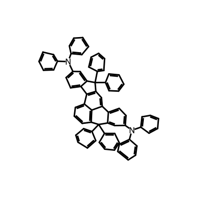 c1ccc(N(c2ccccc2)c2ccc3c(c2)C(c2ccccc2)(c2ccccc2)c2cc4c5c(cccc5c2-3)C(c2ccccc2)(c2ccccc2)c2cc(N(c3ccccc3)c3ccccc3)ccc2-4)cc1